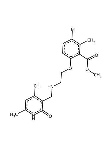 COC(=O)c1c(OCCNCc2c(C)cc(C)[nH]c2=O)ccc(Br)c1C